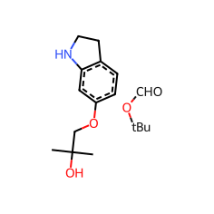 CC(C)(C)OC=O.CC(C)(O)COc1ccc2c(c1)NCC2